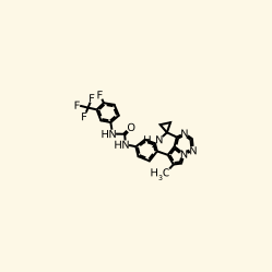 Cc1cn2ncnc(C3(N)CC3)c2c1-c1ccc(NC(=O)Nc2ccc(F)c(C(F)(F)F)c2)cc1